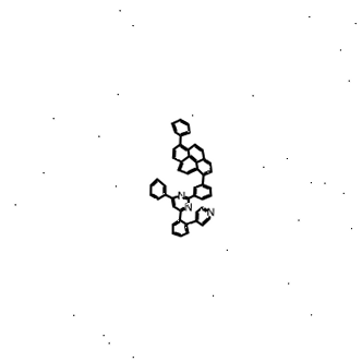 c1ccc(-c2cc(-c3ccccc3-c3ccncc3)nc(-c3cccc(-c4ccc5ccc6c(-c7ccccc7)ccc7ccc4c5c76)c3)n2)cc1